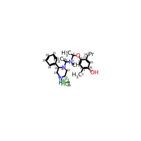 Cc1cc(OC(C)N(C)C(C)N2CCNCC2c2ccccc2)c(C(C)C)cc1O.Cl.Cl